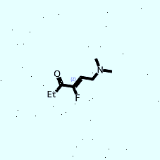 CCC(=O)/C(F)=C/CN(C)C